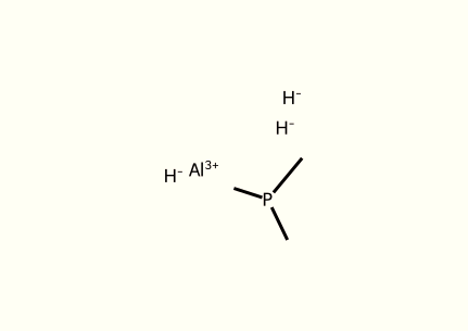 CP(C)C.[Al+3].[H-].[H-].[H-]